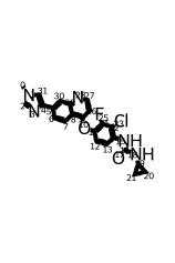 Cn1cnc(-c2ccc3c(Oc4ccc(NC(=O)NC5CC5)c(Cl)c4F)ccnc3c2)c1